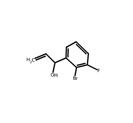 C=CC(O)c1cccc(F)c1Br